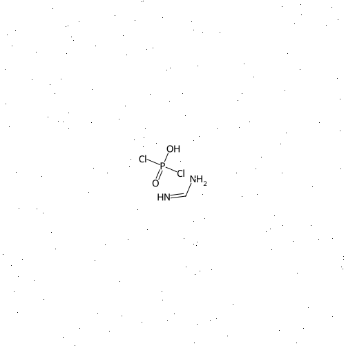 N=CN.O=P(O)(Cl)Cl